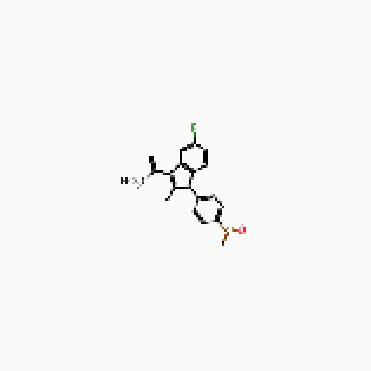 C=C(C(=O)O)C1=C(C)C(c2ccc([S+](C)[O-])cc2)c2ccc(F)cc21